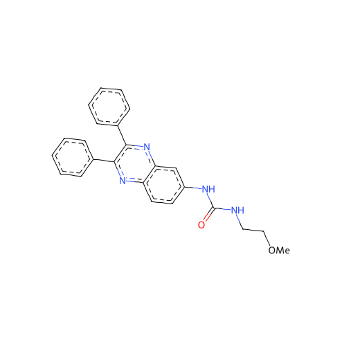 COCCNC(=O)Nc1ccc2nc(-c3ccccc3)c(-c3ccccc3)nc2c1